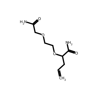 C=CCC(OCCOCC(N)=O)C(N)=O